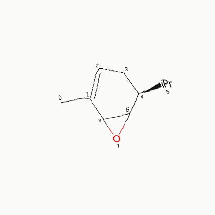 CC1=CC[C@@H](C(C)C)C2OC12